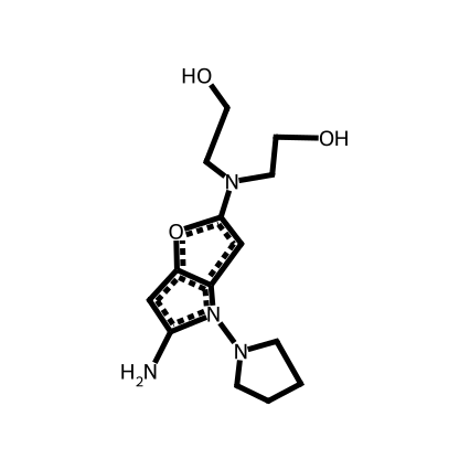 Nc1cc2oc(N(CCO)CCO)cc2n1N1CCCC1